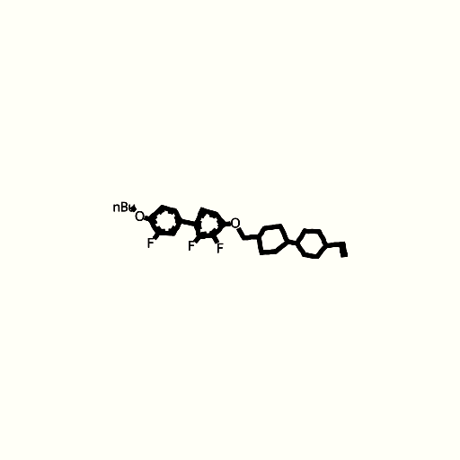 C=CC1CCC(C2CCC(COc3ccc(-c4ccc(OCCCC)c(F)c4)c(F)c3F)CC2)CC1